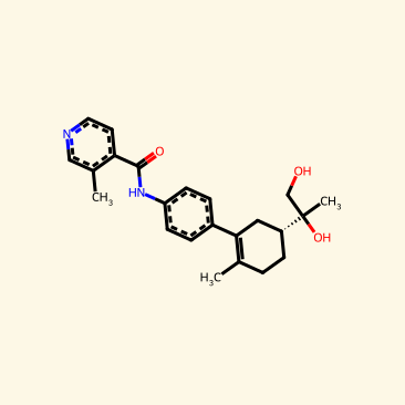 CC1=C(c2ccc(NC(=O)c3ccncc3C)cc2)C[C@H](C(C)(O)CO)CC1